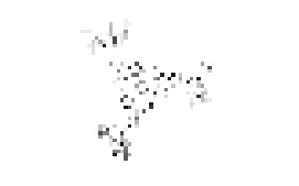 FC(F)(F)C(F)(F)c1nc(-c2ccc(-c3ccc(-c4ccccc4-c4cc(-c5ccccc5-c5ccc(-c6ccc(-c7nc(C(F)(F)C(F)(F)F)nc(C(F)(F)C(F)(F)F)n7)cn6)cc5)cc(-c5ccccc5-c5ccc(-c6ccc(-c7nc(C(F)(F)C(F)(F)F)nc(C(F)(F)C(F)(F)F)n7)cn6)cc5)c4)cc3)nc2)nc(C(F)(F)C(F)(F)F)n1